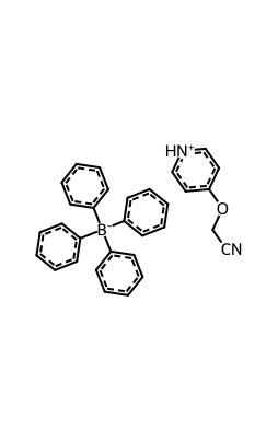 N#CCOc1cc[nH+]cc1.c1ccc([B-](c2ccccc2)(c2ccccc2)c2ccccc2)cc1